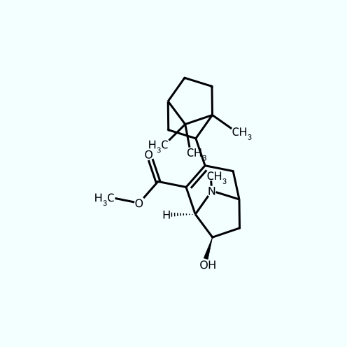 COC(=O)C1=C(C2CC3CCC2(C)C3(C)C)CC2C[C@@H](O)[C@@H]1N2C